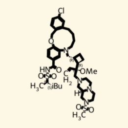 C=C[C@@](CN1CCN2CCN(S(C)(=O)=O)C[C@H]2C1)(OC)[C@@H]1CC[C@H]1CN1CCCCc2cc(Cl)ccc2COc2ccc(C(=O)NS(=O)(=O)[C@H](C)[C@@H](C)CC)cc21